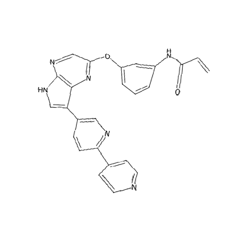 C=CC(=O)Nc1cccc(Oc2cnc3[nH]cc(-c4ccc(-c5ccncc5)nc4)c3n2)c1